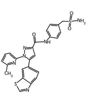 Cc1cccc(-n2nc(C(=O)Nc3ccc(CS(N)(=O)=O)cc3)cc2-c2ccc3ncsc3c2)n1